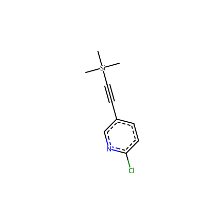 C[Si](C)(C)C#Cc1ccc(Cl)nc1